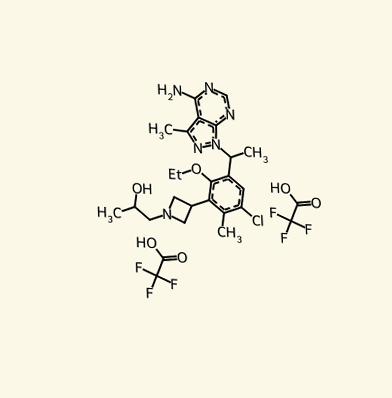 CCOc1c(C(C)n2nc(C)c3c(N)ncnc32)cc(Cl)c(C)c1C1CN(CC(C)O)C1.O=C(O)C(F)(F)F.O=C(O)C(F)(F)F